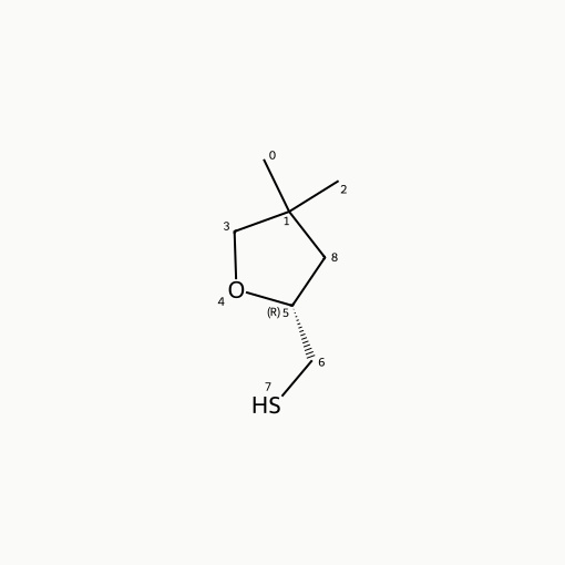 CC1(C)CO[C@@H](CS)C1